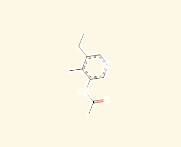 CCc1cncc(NC(C)=O)c1C